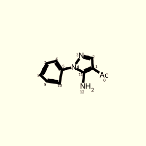 CC(=O)c1cnn(-c2ccccc2)c1N